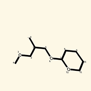 [CH2]C(COC)COC1CCCCO1